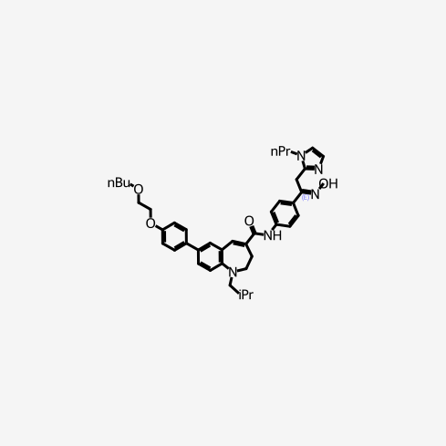 CCCCOCCOc1ccc(-c2ccc3c(c2)C=C(C(=O)Nc2ccc(/C(Cc4nccn4CCC)=N/O)cc2)CCN3CC(C)C)cc1